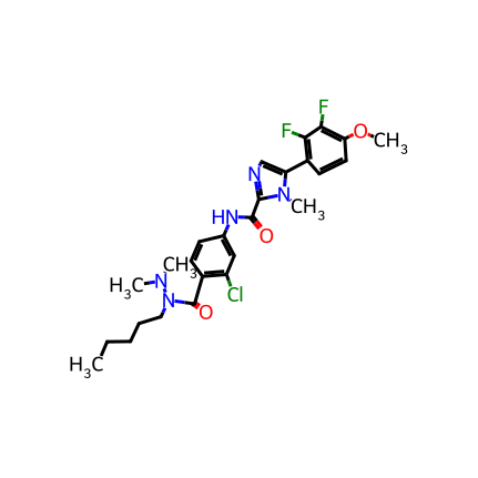 CCCCCN(C(=O)c1ccc(NC(=O)c2ncc(-c3ccc(OC)c(F)c3F)n2C)cc1Cl)N(C)C